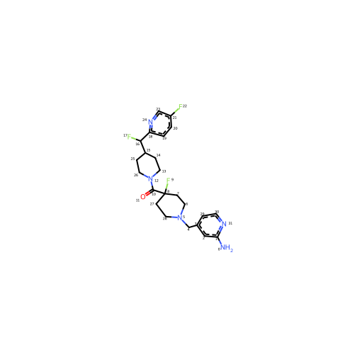 Nc1cc(CN2CCC(F)(C(=O)N3CCC(C(F)c4ccc(F)cn4)CC3)CC2)ccn1